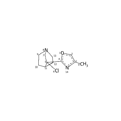 Cc1coc(C2(Cl)CN3CCC2CC3)n1